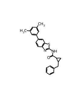 Cc1cc(C)cc(-c2ccc3nc(NC(=O)C4CC4Cc4ccccc4)sc3c2)c1